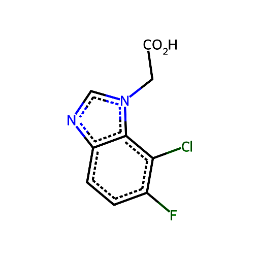 O=C(O)Cn1cnc2ccc(F)c(Cl)c21